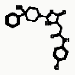 O=C(CC1NC(N2CCC(O)(c3ccccc3)CC2)=NC1=O)Nc1ccc(Cl)cc1